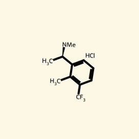 CN[C@H](C)c1cccc(C(F)(F)F)c1C.Cl